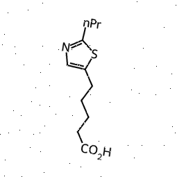 CCCc1ncc(CCCCC(=O)O)s1